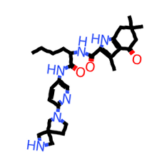 CCCCC(NC(=O)c1[nH]c2c(c1C)C(=O)CC(C)(C)C2)C(=O)Nc1ccc(N2CCC3(CNC3)C2)nc1